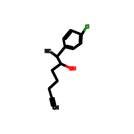 C#CCCCC(O)C(C#N)c1ccc(Cl)cc1